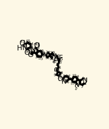 Cn1c2ccncc2c2ccc(-c3ccc(OC4CC(OCCCC(F)(F)CN5CC6(C5)CN(c5ccc7c(c5)C(=O)N(C5CCC(=O)NC5=O)C7=O)C6)C4)nc3)cc21